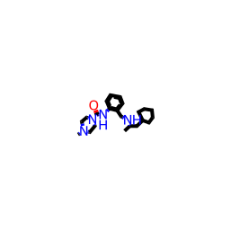 CC(CC1CCCCC1)NCc1ccccc1NC(=O)N1CCN(C)CC1